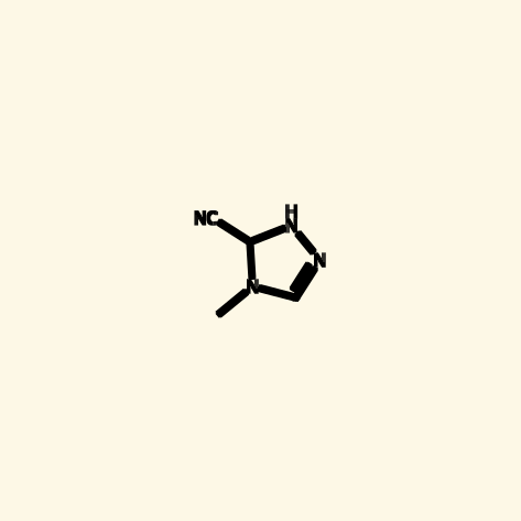 CN1C=NNC1C#N